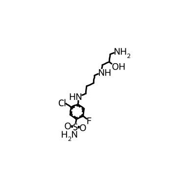 NCC(O)CNCCCCNc1cc(F)c(S(N)(=O)=O)cc1Cl